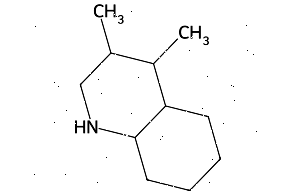 CC1CNC2CCCCC2C1C